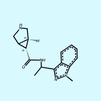 CC(NC(=O)[C@@H]1C2CNC[C@H]21)c1nn(C)c2ccccc12